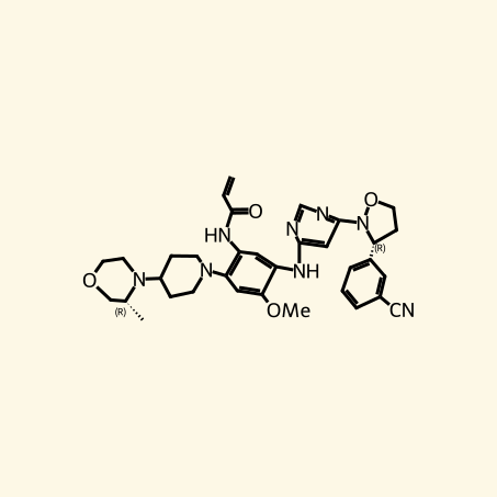 C=CC(=O)Nc1cc(Nc2cc(N3OCC[C@@H]3c3cccc(C#N)c3)ncn2)c(OC)cc1N1CCC(N2CCOC[C@H]2C)CC1